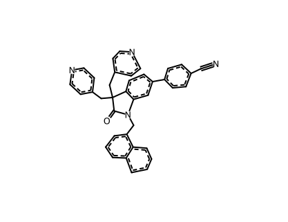 N#Cc1ccc(-c2ccc3c(c2)N(Cc2cccc4ccccc24)C(=O)C3(Cc2ccncc2)Cc2ccncc2)cc1